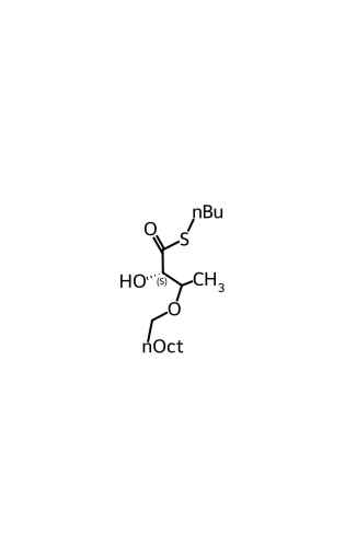 CCCCCCCCCOC(C)[C@H](O)C(=O)SCCCC